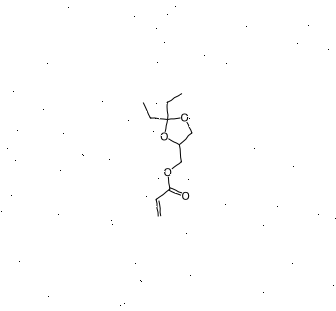 C=CC(=O)OCC1COC(CC)(CC)O1